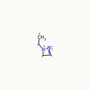 CC[N+]1=[N+]=CC1